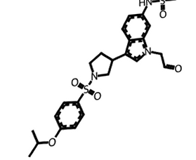 CC(C)Oc1ccc(S(=O)(=O)N2CCC(c3cn(CC=O)c4cc(NS(C)(=O)=O)ccc34)C2)cc1